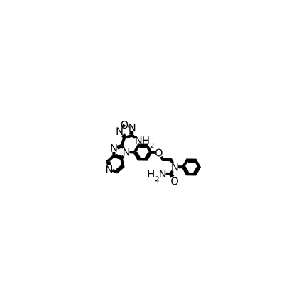 NC(=O)N(CCOc1ccc(-n2c(-c3nonc3N)nc3cnccc32)cc1)c1ccccc1